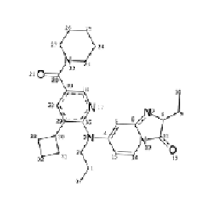 CCCN(C1=CC2=NC(CC)C(=O)N2C=C1)c1ncc(C(=O)N2CCCCC2)cc1C1CCC1